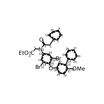 CCOC(=O)CN(C(=O)Cc1ccccc1)c1cc(Br)c(Oc2ccc(OC)c(-c3ccccc3)c2)c(Br)c1